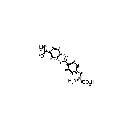 NC(=O)c1ccc2nc(-c3ccc(CN(N)C(=O)O)nc3)sc2c1